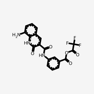 Nc1cccc2cc(C(=O)Nc3cccc(C(=O)OC(=O)C(F)(F)F)c3)c(=O)[nH]c12